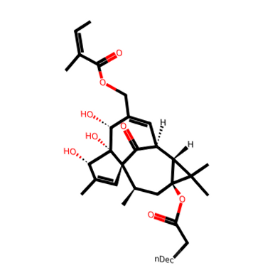 C/C=C(/C)C(=O)OCC1=C[C@@H]2C(=O)[C@]3(C=C(C)[C@H](O)[C@@]3(O)[C@@H]1O)[C@H](C)C[C@]1(OC(=O)CCCCCCCCCCC)[C@H]2C1(C)C